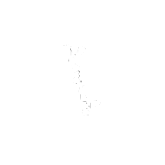 Cc1ccc(N(c2ccc3cc4c(cc3c2)oc2c4cc(C(C)C)c3c4cc5ccc(N(c6ccc(C)cc6)c6c(C)cccc6C)cc5cc4oc23)c2c(C)cccc2C)cc1